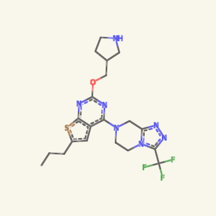 CCCc1cc2c(N3CCn4c(nnc4C(F)(F)F)C3)nc(OCC3CCNC3)nc2s1